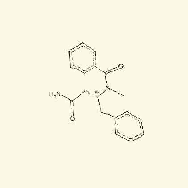 CN(C(=O)c1ccccc1)[C@@H](CC(N)=O)Cc1ccccc1